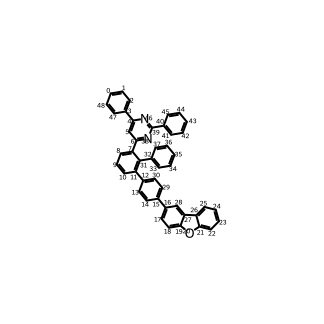 c1ccc(-c2cc(-c3cccc(-c4ccc(-c5ccc6oc7ccccc7c6c5)cc4)c3-c3ccccc3)nc(-c3ccccc3)n2)cc1